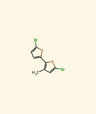 Cc1cc(Br)sc1-c1ccc(Br)s1